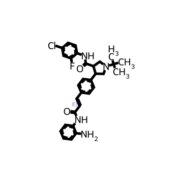 CC(C)(C)N1CC(C(=O)Nc2ccc(Cl)cc2F)C(c2ccc(/C=C/C(=O)Nc3ccccc3N)cc2)C1